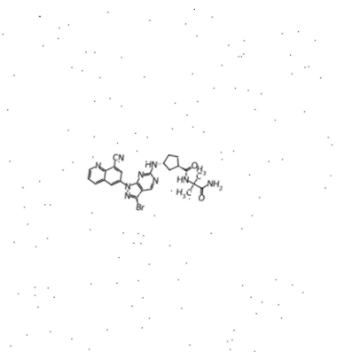 CC(C)(NC(=O)[C@@H]1CC[C@@H](Nc2ncc3c(Br)nn(-c4cc(C#N)c5ncccc5c4)c3n2)C1)C(N)=O